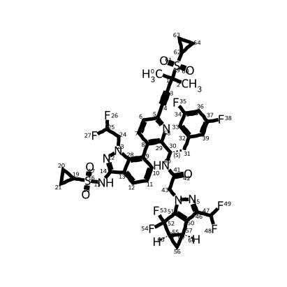 CC(C)(C#Cc1ccc(-c2cccc3c(NS(=O)(=O)C4CC4)nn(CC(F)F)c23)c([C@H](Cc2cc(F)cc(F)c2)NC(=O)Cn2nc(C(F)F)c3c2C(F)(F)[C@@H]2C[C@H]32)n1)S(=O)(=O)C1CC1